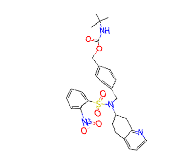 CC(C)(C)NC(=O)OCc1ccc(CN(C2CCc3cccnc3C2)S(=O)(=O)c2ccccc2[N+](=O)[O-])cc1